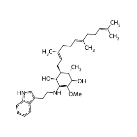 COC1=C(NCCc2c[nH]c3ccccc23)[C@@H](O)[C@@H](C/C=C(\C)CC/C=C(\C)CCC=C(C)C)[C@H](C)C1O